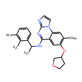 COc1cc2c(cc1OC1CCOC1)c(NC(C)c1cccc(C#N)c1C)nc1nccn12